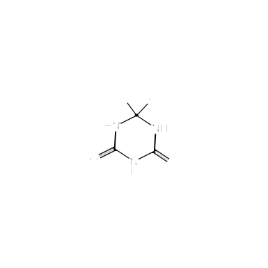 CC1(C)NC(=O)NC(=O)N1